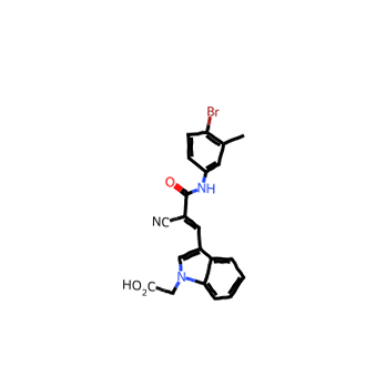 Cc1cc(NC(=O)/C(C#N)=C/c2cn(CC(=O)O)c3ccccc23)ccc1Br